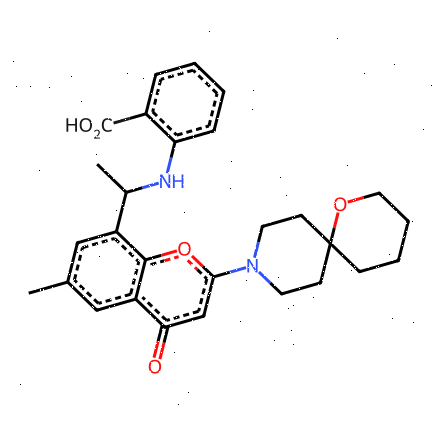 Cc1cc(C(C)Nc2ccccc2C(=O)O)c2oc(N3CCC4(CCCCO4)CC3)cc(=O)c2c1